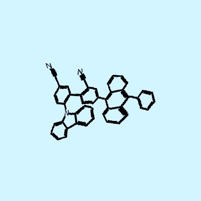 N#Cc1ccc(-n2c3ccccc3c3ccccc32)c(-c2ccc(-c3c4ccccc4c(-c4ccccc4)c4ccccc34)cc2C#N)c1